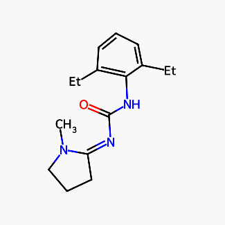 CCc1cccc(CC)c1NC(=O)N=C1CCCN1C